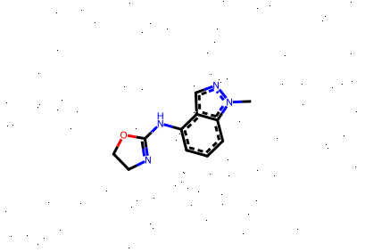 Cn1ncc2c(NC3=NCCO3)cccc21